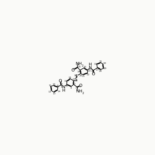 NC(=O)c1cc(NC(=O)c2ccccc2)ccc1SSc1ccc(NC(=O)c2ccccc2)cc1C(N)=O